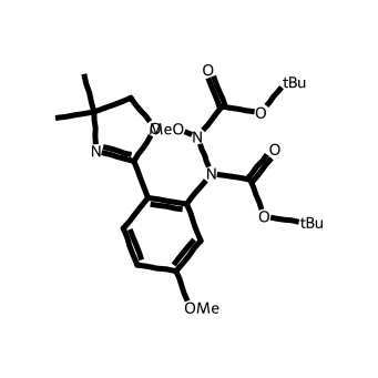 COc1ccc(C2=NC(C)(C)CO2)c(N(C(=O)OC(C)(C)C)N(OC)C(=O)OC(C)(C)C)c1